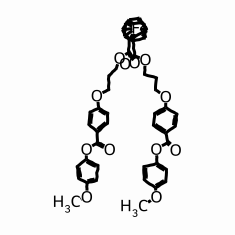 COc1ccc(OC(=O)c2ccc(OCCCOC(=O)[C]34[CH]5[CH]6[CH]7[CH]3[Fe]6754389%10[CH]4[CH]3[CH]8[C]9(C(=O)OCCCOc3ccc(C(=O)Oc5ccc(OC)cc5)cc3)[CH]4%10)cc2)cc1